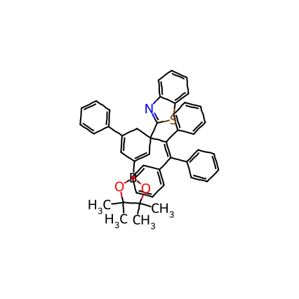 CC1(C)OB(C2=CC(C(=C(c3ccccc3)c3ccccc3)c3ccccc3)(c3nc4ccccc4s3)CC(c3ccccc3)=C2)OC1(C)C